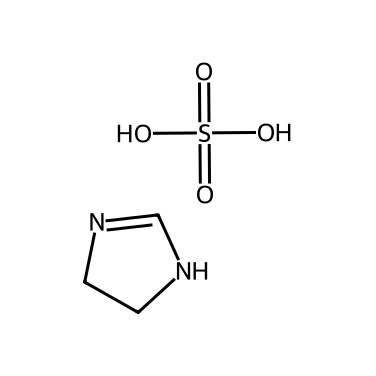 C1=NCCN1.O=S(=O)(O)O